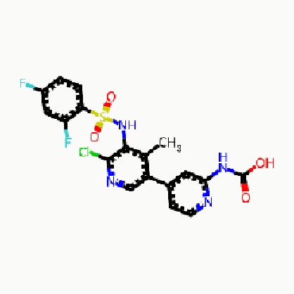 Cc1c(-c2ccnc(NC(=O)O)c2)cnc(Cl)c1NS(=O)(=O)c1ccc(F)cc1F